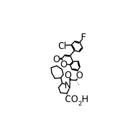 C[C@@H](Oc1ccc2c(-c3ccc(F)cc3Cl)cc(=O)oc2c1)C(=O)N1C[C@H](C(=O)O)CCC1C1CCCCCC1